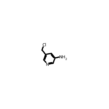 Nc1cncc(CCl)c1